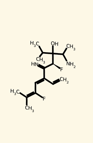 C=C/C(=C\C(F)=C(C)C)C(=N)[C@H](F)C(O)(C(C)C)C(C)N